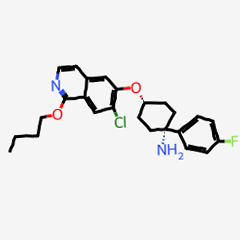 CCCCOc1nccc2cc(O[C@H]3CC[C@](N)(c4ccc(F)cc4)CC3)c(Cl)cc12